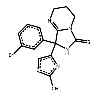 Cc1nc(C2(c3cccc(Br)c3)NC(=S)N3CCCN=C32)cs1